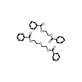 O=C(OCCOC(=O)c1ccccc1)c1ccccc1.O=C(OCCOCCOC(=O)c1ccccc1)c1ccccc1